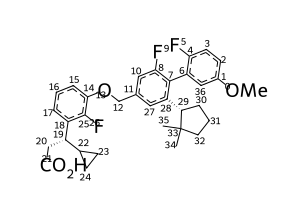 COc1ccc(F)c(-c2c(F)cc(COc3cccc([C@@H](CC(=O)O)C4CC4)c3F)cc2[C@@H]2CCCC2(C)C)c1